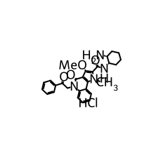 COc1c(C(=O)N[C@H]2CCCC[C@@H]2N)n(C)c2c1c(=O)n(CC(=O)c1ccccc1)c1ccccc21.Cl